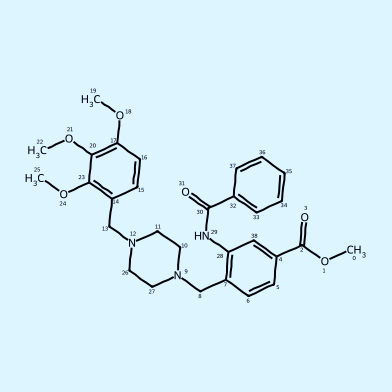 COC(=O)c1ccc(CN2CCN(Cc3ccc(OC)c(OC)c3OC)CC2)c(NC(=O)c2ccccc2)c1